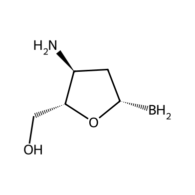 B[C@H]1C[C@H](N)[C@@H](CO)O1